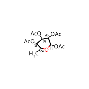 CC(=O)O[C@H]1O[C@@H](C)[C@H](OC(C)=O)[C@@H](OC(C)=O)[C@H]1OC(C)=O